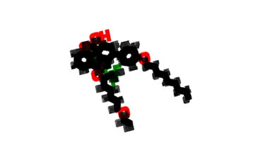 CCCCCCCCCOc1ccc(C2C=CC(C(=O)O)(c3ccccc3C(=O)OC(CCCCCOCC)C(F)(F)F)C(F)=C2)cc1